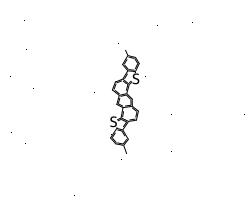 Cc1ccc2sc3c4cc5ccc6c7cc(C)ccc7sc6c5cc4ccc3c2c1